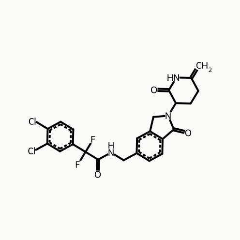 C=C1CCC(N2Cc3cc(CNC(=O)C(F)(F)c4ccc(Cl)c(Cl)c4)ccc3C2=O)C(=O)N1